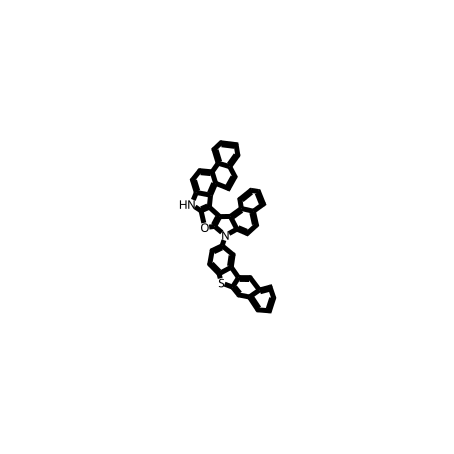 c1ccc2cc3c(cc2c1)sc1ccc(-n2c4ccc5ccccc5c4c4c5c([nH]c6ccc7c8ccccc8ccc7c65)oc42)cc13